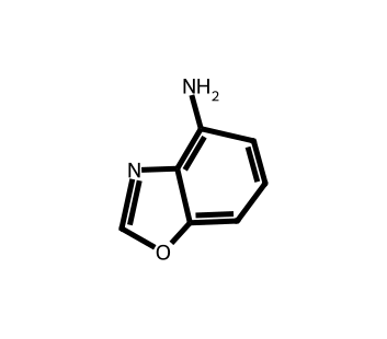 Nc1cccc2ocnc12